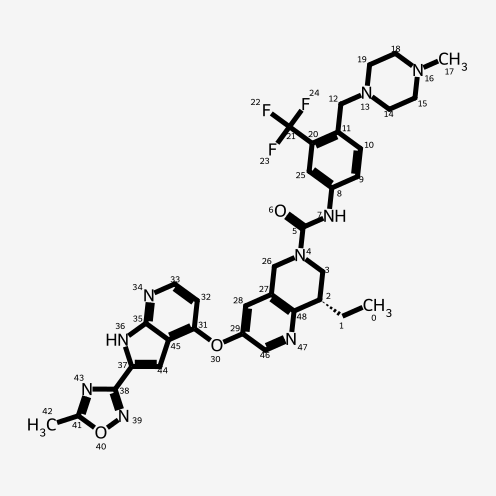 CC[C@H]1CN(C(=O)Nc2ccc(CN3CCN(C)CC3)c(C(F)(F)F)c2)Cc2cc(Oc3ccnc4[nH]c(-c5noc(C)n5)cc34)cnc21